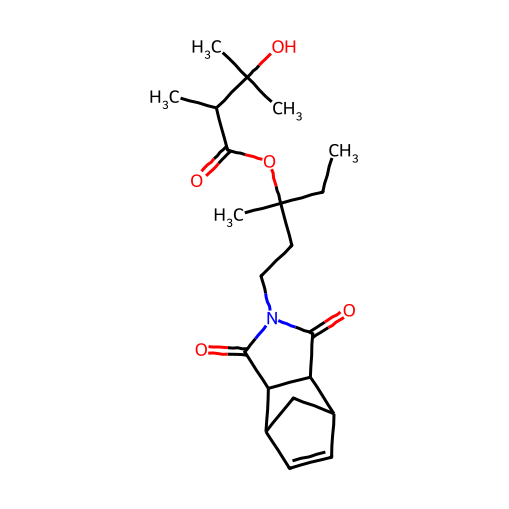 CCC(C)(CCN1C(=O)C2C3C=CC(C3)C2C1=O)OC(=O)C(C)C(C)(C)O